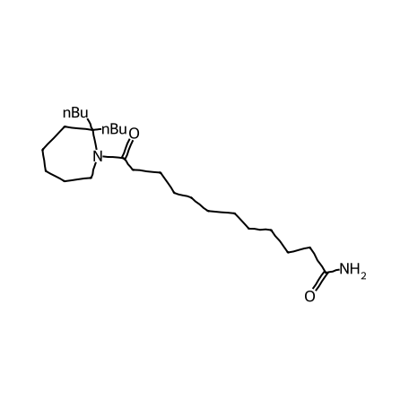 CCCCC1(CCCC)CCCCCN1C(=O)CCCCCCCCCCC(N)=O